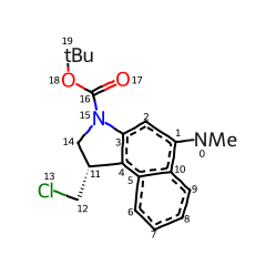 CNc1cc2c(c3ccccc13)[C@H](CCl)CN2C(=O)OC(C)(C)C